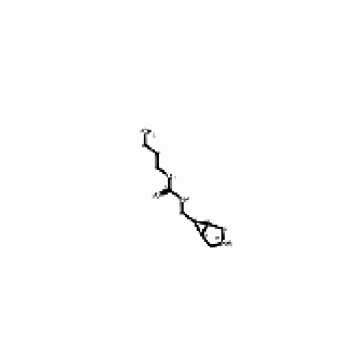 CCCCOC(=O)NCC1C2CNCC21